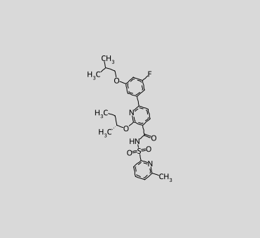 CC[C@@H](C)Oc1nc(-c2cc(F)cc(OCC(C)C)c2)ccc1C(=O)NS(=O)(=O)c1cccc(C)n1